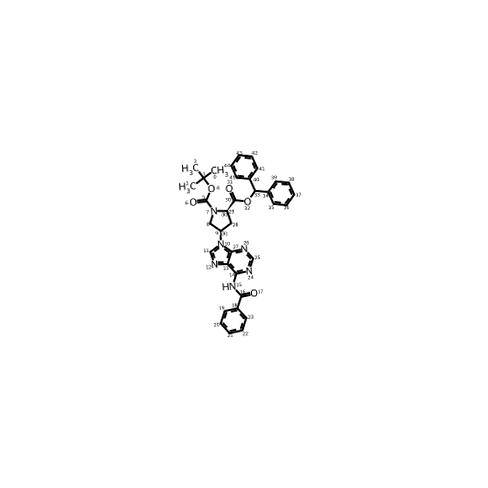 CC(C)(C)OC(=O)N1C[C@H](n2cnc3c(NC(=O)c4ccccc4)ncnc32)C[C@@H]1C(=O)OC(c1ccccc1)c1ccccc1